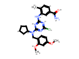 COc1ccc(CN(c2nc(Cl)nc(Nc3cc(C(N)=O)ccc3C)n2)C2CCCC2)c(OC)c1